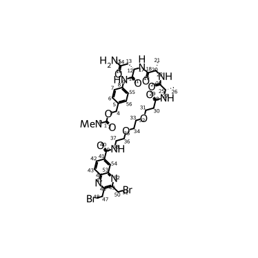 CNC(=O)OCc1ccc(NC(=O)[C@H](CC(N)=O)NC(=O)[C@H](C)NC(=O)[C@H](C)NC(=O)CCOCCOCCNC(=O)c2ccc3nc(CBr)c(CBr)nc3c2)cc1